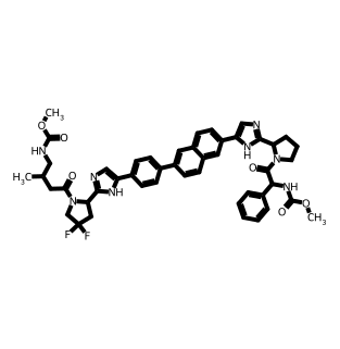 COC(=O)NCC(C)CC(=O)N1CC(F)(F)CC1c1ncc(-c2ccc(-c3ccc4cc(-c5cnc(C6CCCN6C(=O)C(NC(=O)OC)c6ccccc6)[nH]5)ccc4c3)cc2)[nH]1